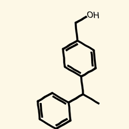 CC(c1ccccc1)c1ccc(CO)cc1